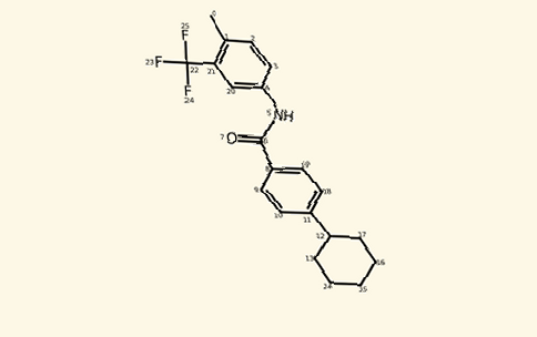 Cc1ccc(NC(=O)c2ccc(C3CCCCC3)cc2)cc1C(F)(F)F